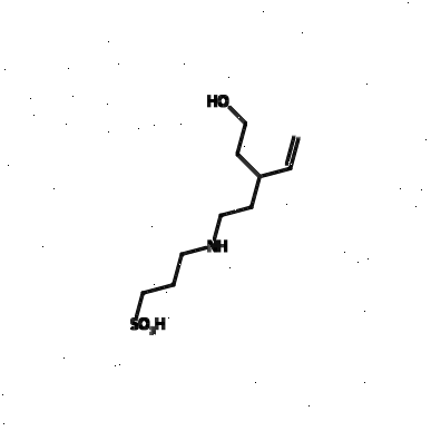 C=CC(CCO)CCNCCCS(=O)(=O)O